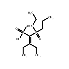 CCCP(=O)(OCC)C(=C(CC)CC)P(=O)(O)O